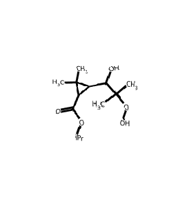 CC(C)OC(=O)C1C(C(O)C(C)(C)OO)C1(C)C